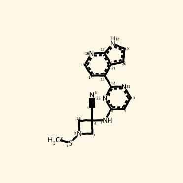 CSN1CC(C#N)(Nc2ccnc(-c3ccnc4[nH]ccc34)n2)C1